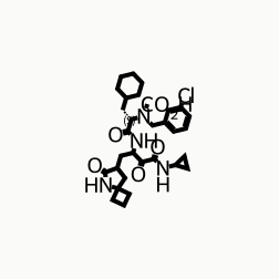 O=C(NC1CC1)C(=O)C(CC1CC2(CCC2)NC1=O)NC(=O)[C@H](CC1CCCCC1)N(Cc1cccc(Cl)c1)C(=O)O